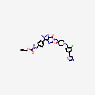 C#CCOC(=O)NCc1ccc(-c2c3ncn(CC4(O)CCN(Cc5ccc(-c6cnco6)cc5Cl)CC4)c(=O)c3nn2C)cc1